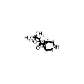 CC(C)(C)CC(=O)N1C2CCC1CNC2